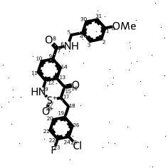 COc1ccc(CNC(=O)c2ccc3c(c2)C(=O)C(Cc2ccc(F)c(Cl)c2)[S+]([O-])N3)cc1